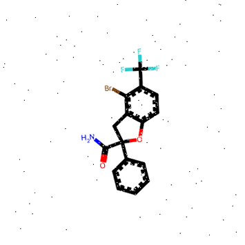 NC(=O)C1(c2ccccc2)Cc2c(ccc(C(F)(F)F)c2Br)O1